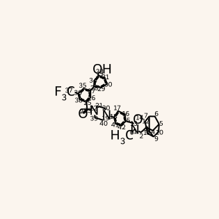 CN(CC12CC3CC(CC(C3)C1)C2)C(=O)c1ccc(N2CCN(C(=O)c3cc(-c4cccc(O)c4)cc(C(F)(F)F)c3)CC2)cc1